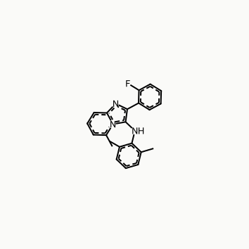 Cc1cccc(C)c1Nc1c(-c2ccccc2F)nc2cccc(C)n12